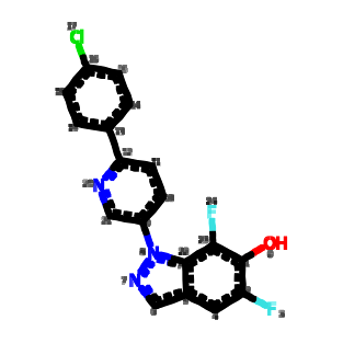 Oc1c(F)cc2cnn(-c3ccc(-c4ccc(Cl)cc4)nc3)c2c1F